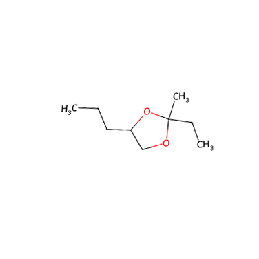 CCCC1COC(C)(CC)O1